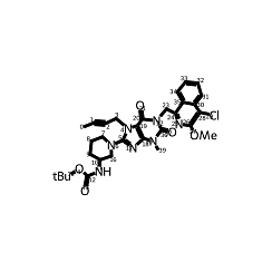 CC#CCn1c(N2CCCC(NC(=O)OC(C)(C)C)C2)nc2c1c(=O)n(Cc1nc(OC)c(Cl)c3ccccc13)c(=O)n2C